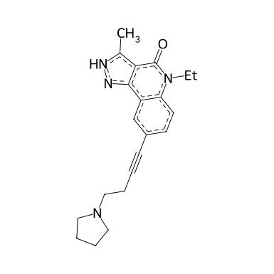 CCn1c(=O)c2c(C)[nH]nc2c2cc(C#CCCN3CCCC3)ccc21